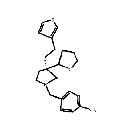 Cc1ccc(CN2CC[C@@](CCc3ccsc3)(C3CCCO3)C2)cn1